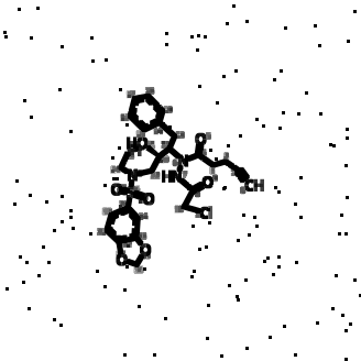 C#CCCC(=O)N(NC(=O)CCl)C(Cc1ccccc1)[C@H](O)CN(CC(C)C)S(=O)(=O)c1ccc2c(c1)OCO2